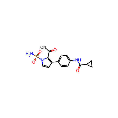 NS(=O)(=O)n1ccc(-c2ccc(NC(=O)C3CC3)cc2)c1C(=O)N=O